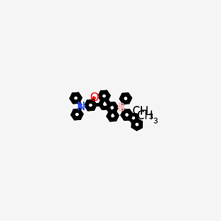 CC1(C)c2ccccc2-c2ccc(B(c3ccccc3)c3cc4c5cccc6c5c(cc4c4ccccc34)-c3ccc(N(c4ccccc4)c4ccccc4)cc3O6)cc21